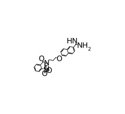 N=C(N)c1ccc2cc(OCCCNC(=O)c3ccccc3S(=O)(=O)F)ccc2c1